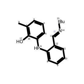 Cc1cccc(Pc2ccccc2/C=N/C(C)(C)C)c1O